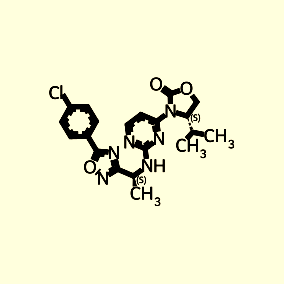 CC(C)[C@H]1COC(=O)N1c1ccnc(N[C@@H](C)c2noc(-c3ccc(Cl)cc3)n2)n1